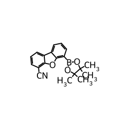 CC1(C)OB(c2cccc3c2oc2c(C#N)cccc23)OC1(C)C